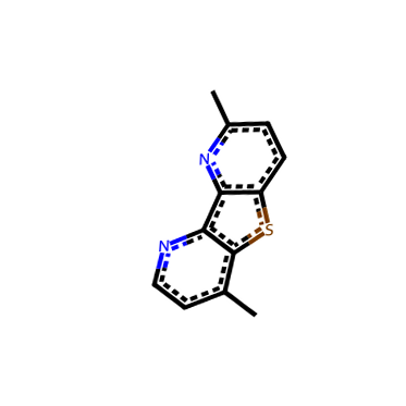 Cc1ccc2sc3c(C)ccnc3c2n1